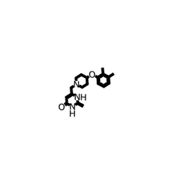 C=C1NC(=O)C=C(CN2CCC(Oc3cccc(C)c3C)CC2)N1